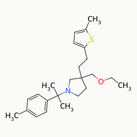 CCOCC1(CCc2ccc(C)s2)CCN(C(C)(C)c2ccc(C)cc2)C1